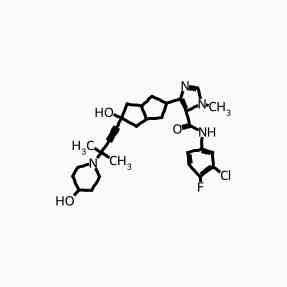 Cn1cnc(C2CC3CC(O)(C#CC(C)(C)N4CCC(O)CC4)CC3C2)c1C(=O)Nc1ccc(F)c(Cl)c1